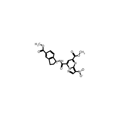 COC(=O)c1ccc2c(c1)CC[C@@H]2NC(=O)c1cc(C(=O)OC)nc2c([N+](=O)[O-])cnn12